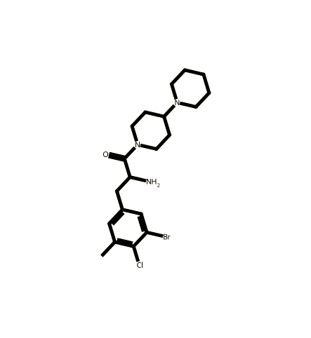 Cc1cc(CC(N)C(=O)N2CCC(N3CCCCC3)CC2)cc(Br)c1Cl